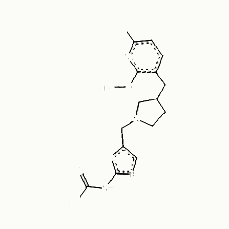 COc1nc(C)ccc1CC1CCN(Cc2cnc(NC(C)=O)s2)C1